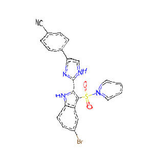 N#Cc1ccc(-c2c[nH]c(-c3[nH]c4ccc(Br)cc4c3S(=O)(=O)n3cccc3)n2)cc1